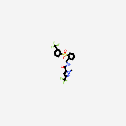 Cn1nc(C(F)(F)F)cc1C(=O)NCc1ccccc1S(=O)(=O)c1cccc(C(F)(F)F)c1